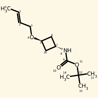 CC=CCO[C@H]1C[C@H](NC(=O)OC(C)(C)C)C1